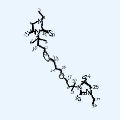 CCN1CC(=S)N(C(C)(C)CCOCCCOCCC(C)(C)N2C(=S)CN(CC)C2=S)C1=S